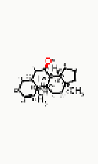 C[C@@]12CCC[C@H]1[C@@H]1C(=O)CC3CCC=C[C@]3(C)[C@H]1CC2